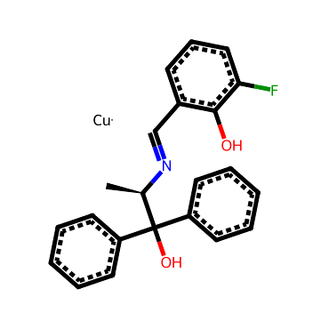 C[C@@H](N=Cc1cccc(F)c1O)C(O)(c1ccccc1)c1ccccc1.[Cu]